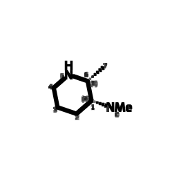 CN[C@@H]1CCCN[C@@H]1C